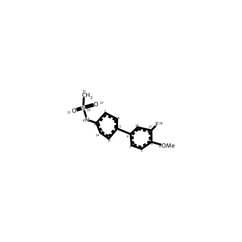 COc1ccc(-c2ccc([N]S(C)(=O)=O)cc2)cc1F